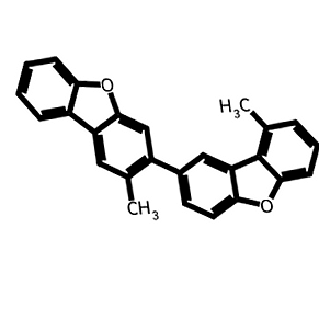 Cc1cc2c(cc1-c1ccc3oc4cccc(C)c4c3c1)oc1ccccc12